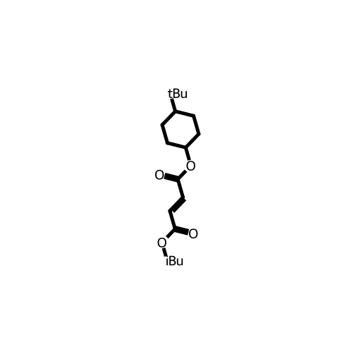 CCC(C)OC(=O)/C=C/C(=O)OC1CCC(C(C)(C)C)CC1